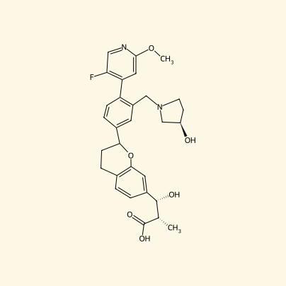 COc1cc(-c2ccc(C3CCc4ccc([C@H](O)[C@H](C)C(=O)O)cc4O3)cc2CN2CC[C@@H](O)C2)c(F)cn1